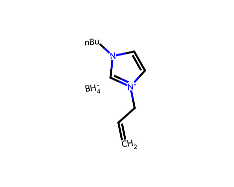 C=CC[n+]1ccn(CCCC)c1.[BH4-]